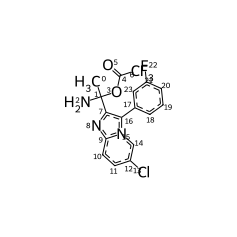 CC(N)(OC(=O)C(F)(F)F)c1nc2ccc(Cl)cn2c1-c1cccc(F)c1